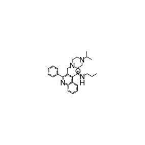 CCCNC(=O)c1c(CN2CCN(C(C)C)CC2)c(-c2ccccc2)nc2ccccc12